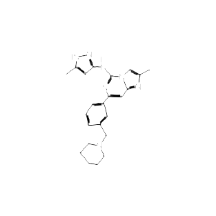 Cc1cn2c(Nc3cc(C)[nH]n3)nc(-c3cccc(CN4CCCCC4)c3)cc2n1